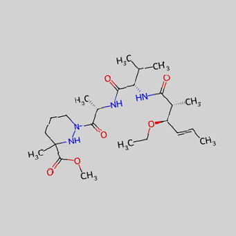 C/C=C/[C@@H](OCC)[C@@H](C)C(=O)N[C@H](C(=O)N[C@@H](C)C(=O)N1CCCC(C)(C(=O)OC)N1)C(C)C